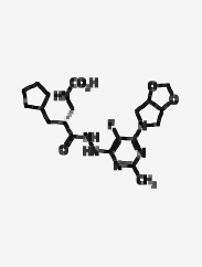 Cc1nc(NNC(=O)[C@@H](CNC(=O)O)CC2CCCC2)c(F)c(N2CC3OCOC3C2)n1